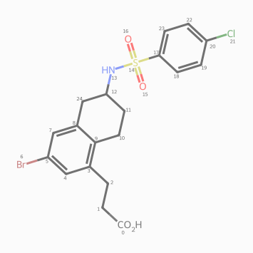 O=C(O)CCc1cc(Br)cc2c1CCC(NS(=O)(=O)c1ccc(Cl)cc1)C2